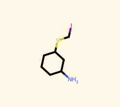 NC1CCCC(SCI)C1